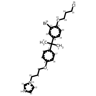 CC(C)(c1ccc(OCCCn2ccnc2)cc1)c1ccc(OCCCCl)c(Br)c1